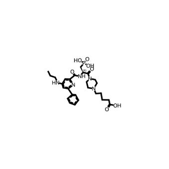 CCCNc1cc(C(=O)N[C@@H](CP(=O)(O)O)C(=O)N2CCN(CCCCC(=O)O)CC2)nc(-c2ccccc2)c1